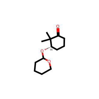 CC1(C)C(=O)CCC[C@@H]1OC1CCCCO1